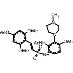 COc1cc(OC)c(C=CS(=O)(=O)Nc2ccc(OC)c(N3CCN(C)CC3)c2NC(C)=O)c(OC)c1